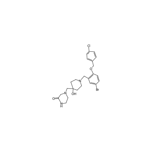 O=C1CN(CC2(O)CCN(Cc3cc(Br)ccc3OCc3ccc(Cl)cc3)CC2)CCN1